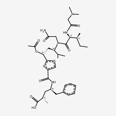 CC[C@H](C)[C@H](NC(=O)CN(C)C)C(=O)N(CC(N)=O)[C@H](C[C@@H](OC(C)=O)c1nc(C(=O)N[C@@H](Cc2ccccc2)C[C@H](C)C(=O)O)cs1)C(C)C